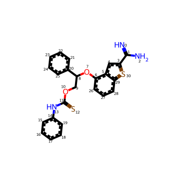 N=C(N)c1cc2c(OC(COC(=S)Nc3ccccc3)c3ccccc3)cccc2s1